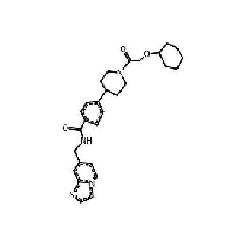 O=C(NCc1ccn2ccnc2c1)c1ccc(C2CCN(C(=O)COC3CCCCC3)CC2)cc1